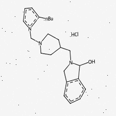 CCCCc1cccn1CN1CCC(CN2Cc3ccccc3C2O)CC1.Cl